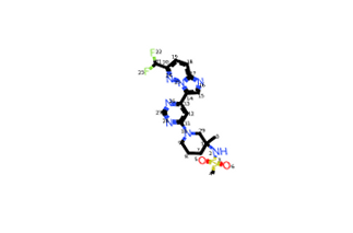 CC1(NS(C)(=O)=O)CCCN(c2cc(-c3cnc4ccc(C(F)F)nn34)ncn2)C1